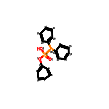 O=P(O)(Oc1ccccc1)P(c1ccccc1)c1ccccc1